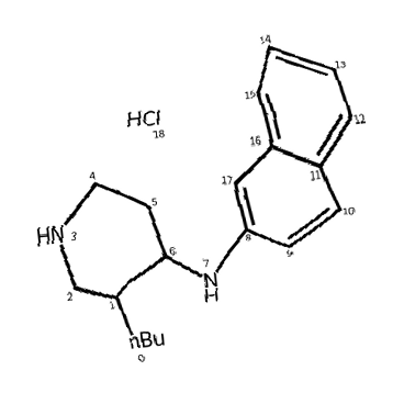 CCCCC1CNCCC1Nc1ccc2ccccc2c1.Cl